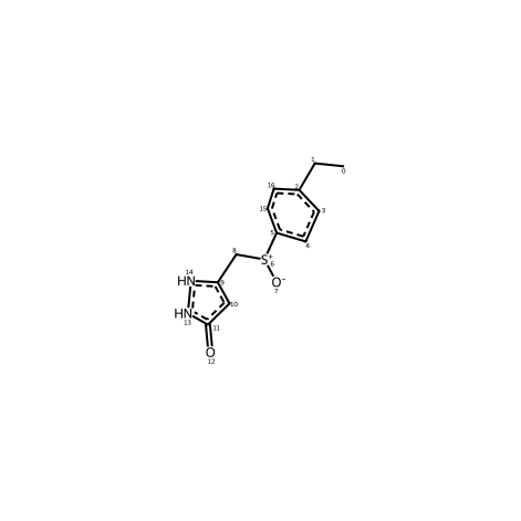 CCc1ccc([S+]([O-])Cc2cc(=O)[nH][nH]2)cc1